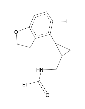 CCC(=O)NCC1CC1c1c(I)ccc2c1CCO2